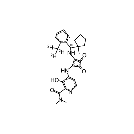 [2H]C([2H])([2H])c1cccnc1[C@H](Nc1c(Nc2ccnc(C(=O)N(C)C)c2O)c(=O)c1=O)C1(C)CCCC1